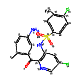 Cc1ccc(N)cc1C(=O)c1ncc(Cl)cc1NS(=O)(=O)c1ccc(Cl)c(C(F)(F)F)c1